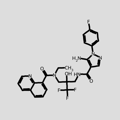 CCN(CC(O)(CNC(=O)c1cnn(-c2ccc(F)cc2)c1N)C(F)(F)F)C(=O)c1cccc2cccnc12